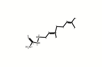 CC(C)=CCC/C(C)=C/CNNC(N)=S